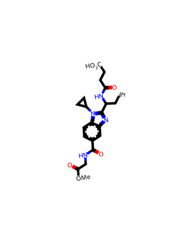 COC(=O)CNC(=O)c1ccc2c(c1)nc(C(CC(C)C)NC(=O)CCC(=O)O)n2C1CC1